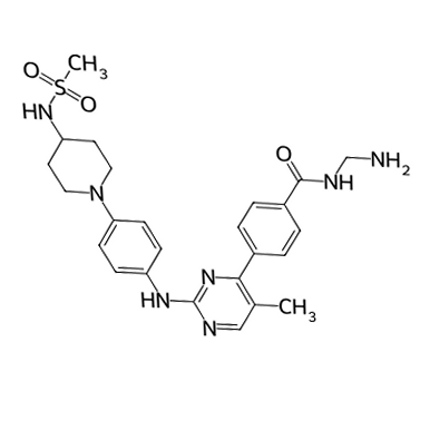 Cc1cnc(Nc2ccc(N3CCC(NS(C)(=O)=O)CC3)cc2)nc1-c1ccc(C(=O)NCN)cc1